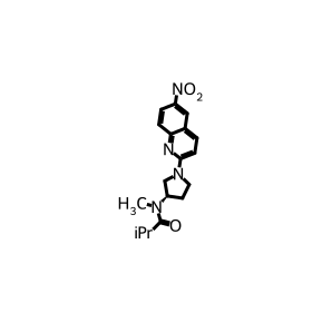 CC(C)C(=O)N(C)[C@@H]1CCN(c2ccc3cc([N+](=O)[O-])ccc3n2)C1